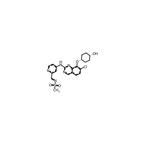 CS(=O)(=O)N=Cc1cc(Nc2ncc3ccc(Cl)c(O[C@H]4CC[C@@H](O)CC4)c3n2)ccn1